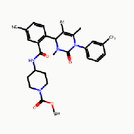 CC(=O)C1=C(C)N(c2cccc(C(F)(F)F)c2)C(=O)N(C)C1c1ccc(C#N)cc1C(=O)NC1CCN(C(=O)OC(C)(C)C)CC1